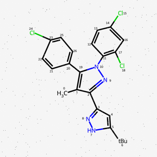 Cc1c(-c2cc(C(C)(C)C)[nH]n2)nn(-c2ccc(Cl)cc2Cl)c1-c1ccc(Cl)cc1